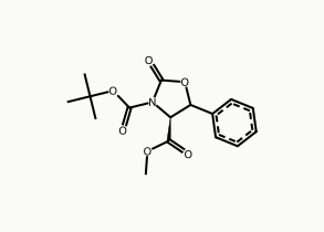 COC(=O)[C@@H]1C(c2ccccc2)OC(=O)N1C(=O)OC(C)(C)C